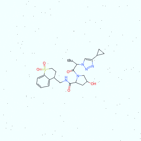 CC(C)(C)C(C(=O)N1CC(O)CC1C(=O)NCC1CCS(=O)(=O)c2ccccc21)n1cc(C2CC2)nn1